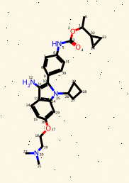 CC(OC(=O)Nc1ccc(-c2c(N)c3ccc(OCCN(C)C)cc3n2C2CCC2)cc1)C1CC1